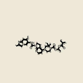 Cc1cn2cc(NC(=O)N3CCc4c(N5CCN(C(=O)OC(C)OC(=O)C(C)C)C(C)(C)C5)ccnc43)c(F)cc2n1